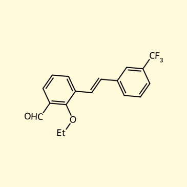 CCOc1c(C=O)cccc1C=Cc1cccc(C(F)(F)F)c1